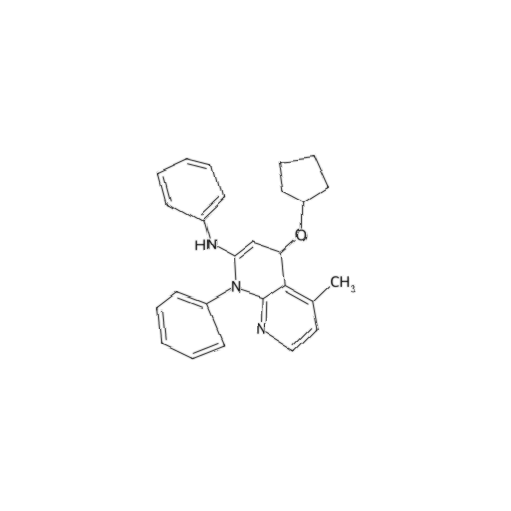 Cc1ccnc2c1C(OC1CCCC1)C=C(Nc1ccccc1)N2c1ccccc1